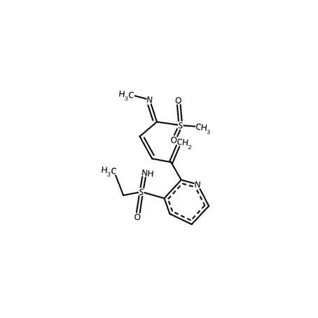 C=C(/C=C\C(=N/C)S(C)(=O)=O)c1ncccc1S(=N)(=O)CC